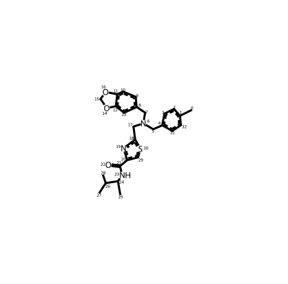 Cc1ccc(CN(Cc2ccc3c(c2)OCO3)Cc2nc(C(=O)NC(C)C(C)C)cs2)cc1